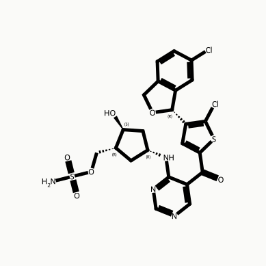 NS(=O)(=O)OC[C@H]1C[C@@H](Nc2ncncc2C(=O)c2cc([C@@H]3OCc4ccc(Cl)cc43)c(Cl)s2)C[C@@H]1O